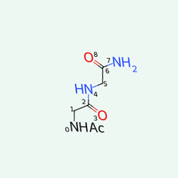 CC(=O)NCC(=O)NCC(N)=O